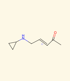 CC(=O)/C=C/CNC1CC1